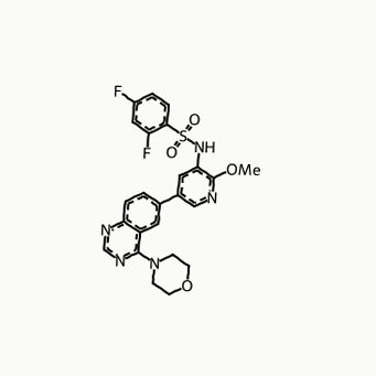 COc1ncc(-c2ccc3ncnc(N4CCOCC4)c3c2)cc1NS(=O)(=O)c1ccc(F)cc1F